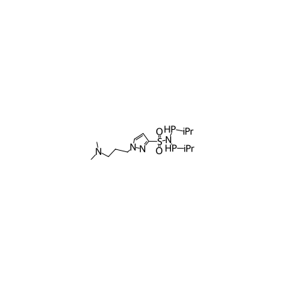 CC(C)PN(PC(C)C)S(=O)(=O)c1ccn(CCCN(C)C)n1